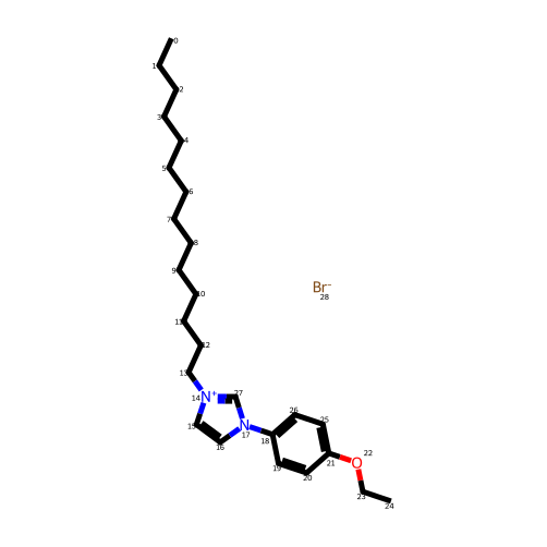 CCCCCCCCCCCCCC[n+]1ccn(-c2ccc(OCC)cc2)c1.[Br-]